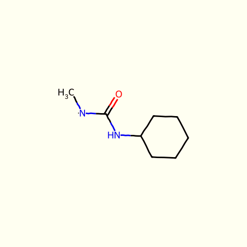 C[N]C(=O)NC1CCCCC1